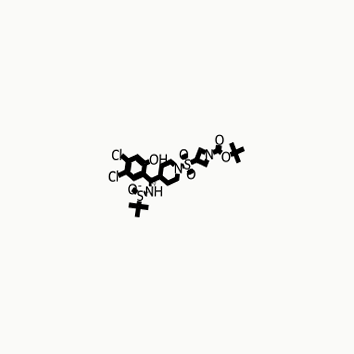 CC(C)(C)OC(=O)N1CC(S(=O)(=O)N2CCC([C@@H](N[S+]([O-])C(C)(C)C)c3cc(Cl)c(Cl)cc3O)CC2)C1